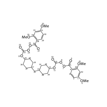 COc1ccc(C(=O)OOC(=O)OC2CCC(CC3CCC(OC(=O)OOC(=O)c4ccc(OC)cc4OC)CC3)CC2)c(OC)c1